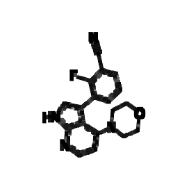 N#Cc1cccc(-c2c[nH]c3nccc(N4CCOCC4)c23)c1F